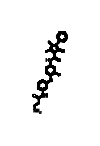 Cc1c(C(=O)Nc2ccc(Oc3ccnc(NC(=O)CCN)c3)c(F)c2)c(=O)n(-c2ccccc2)n1C